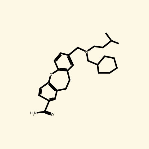 CC(C)CCN(Cc1ccc2c(c1)CCc1cc(C(N)=O)ccc1O2)CC1CCCCC1